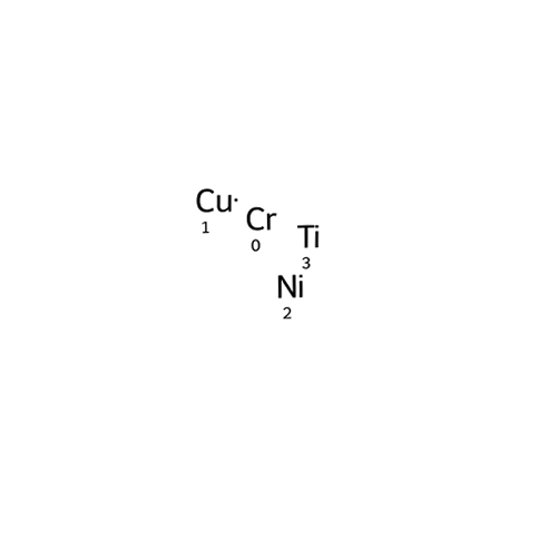 [Cr].[Cu].[Ni].[Ti]